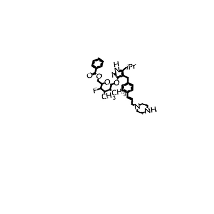 CC(C)c1[nH]nc(OC2OC(COC(=O)c3ccccc3)C(F)C(C)C2C)c1Cc1ccc(/C=C/CN2CCNCC2)cc1